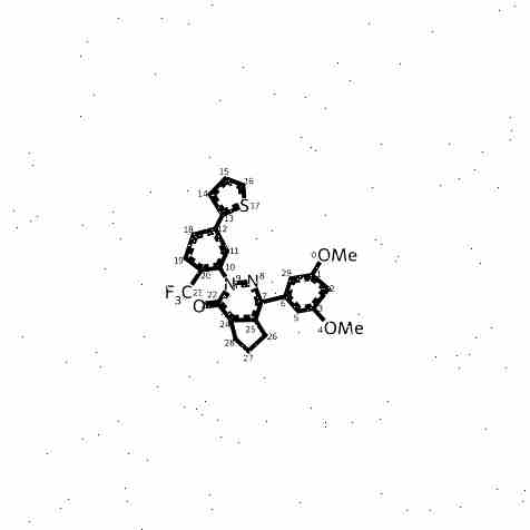 COc1cc(OC)cc(-c2nn(-c3cc(-c4cccs4)ccc3C(F)(F)F)c(=O)c3c2CCC3)c1